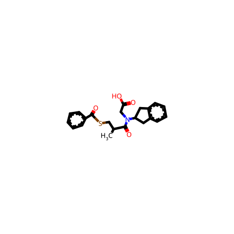 CC(CSC(=O)c1ccccc1)C(=O)N(CC(=O)O)C1Cc2ccccc2C1